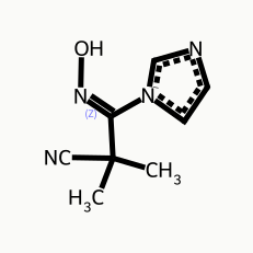 CC(C)(C#N)/C(=N/O)n1ccnc1